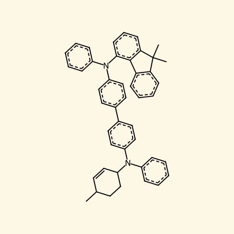 CC1C=CC(N(c2ccccc2)c2ccc(-c3ccc(N(c4ccccc4)c4cccc5c4-c4ccccc4C5(C)C)cc3)cc2)CC1